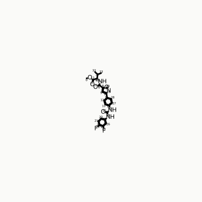 COC(=O)[C@@H](NC(=O)c1cc(-c2ccc(NC(=O)Nc3ccc(F)c(F)c3)cc2)no1)C(C)C